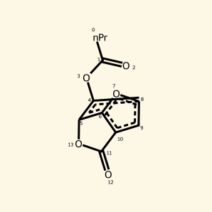 CCCC(=O)Oc1c2c3oc1cc3C(=O)O2